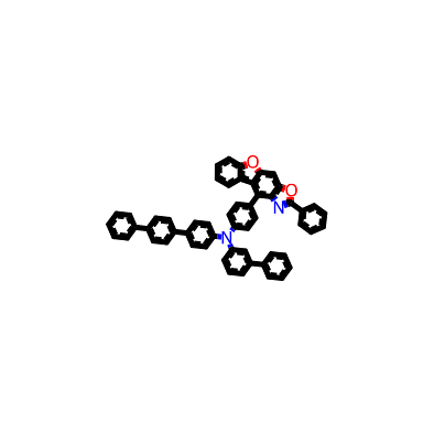 c1ccc(-c2ccc(-c3ccc(N(c4ccc(-c5c6nc(-c7ccccc7)oc6cc6oc7ccccc7c56)cc4)c4cccc(-c5ccccc5)c4)cc3)cc2)cc1